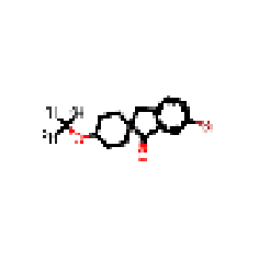 [2H]C([2H])([2H])OC1CCC2(CC1)Cc1ccc(Br)cc1C2=O